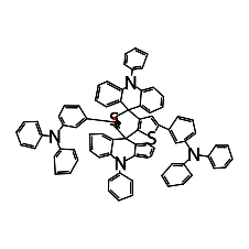 c1ccc(N(c2ccccc2)c2cccc(-c3cc4c(s3)C3(c5ccccc5N(c5ccccc5)c5ccccc53)c3cc(-c5cccc(N(c6ccccc6)c6ccccc6)c5)sc3C43c4ccccc4N(c4ccccc4)c4ccccc43)c2)cc1